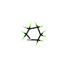 F[C]1(F)[AlH][C](F)(F)C(F)(F)C(F)(F)C1(F)F